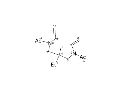 C=CN(CC(C)(CC)CN(C=C)C(C)=O)C(C)=O